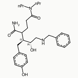 CCCN(CCC)C(=O)CCC(C(N)=O)[C@H](Cc1ccc(O)cc1)[C@@H](O)CNCc1ccccc1